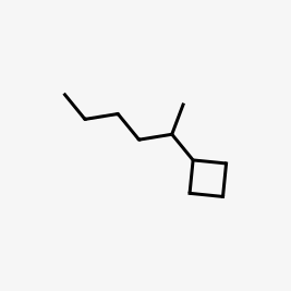 CCCCC(C)C1CCC1